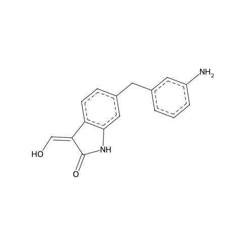 Nc1cccc(Cc2ccc3c(c2)NC(=O)C3=CO)c1